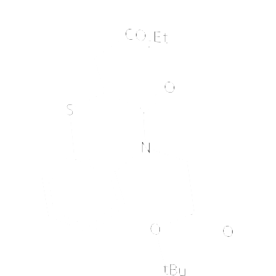 CCOC(=O)CC1Sc2ccccc2N(CC(=O)OC(C)(C)C)C1=O